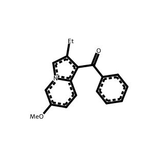 CCc1cn2cc(OC)ccc2c1C(=O)c1ccccc1